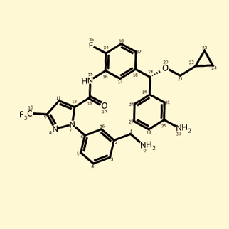 NCc1cccc(-n2nc(C(F)(F)F)cc2C(=O)Nc2cc([C@H](OCC3CC3)c3cccc(N)c3)ccc2F)c1